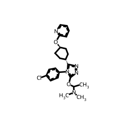 CC(Oc1nnc([C@H]2CC[C@H](Oc3ccccn3)CC2)n1-c1ccc(Cl)cc1)N(C)C